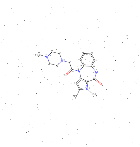 CCCc1cc2c(n1C)C(=O)Nc1ccccc1N2C(=O)CN1CCN(C)CC1